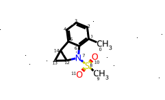 Cc1cccc2c1N(S(C)(=O)=O)C1CC21